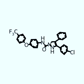 O=C(Nc1ccc(Oc2ccc(C(F)(F)F)cc2)cc1)N1CC(c2ccccc2)=C(c2ccc(Cl)cc2)N1